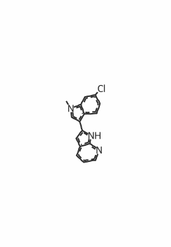 Cn1cc(-c2cc3cccnc3[nH]2)c2ccc(Cl)cc21